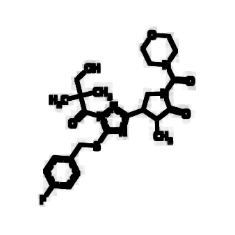 CC1C(=O)N(C(=O)N2CCOCC2)CC1c1nc(SCc2ccc(F)cc2)n(C(=O)C(C)(C)CO)n1